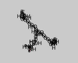 O=C(CCOCC(COCCC(=O)NCCOCCOCCOCCOC[C@@]12CO[C@@H](O1)[C@H](Nc1nccc(C(F)(F)F)n1)[C@@H](O)[C@H]2O)NCC(=O)NCCOCCOCCNC(O)c1ccc(CNc2nc(NCC3CCCCC3)nc(NC3CC4CCC3C4)n2)cc1)NCCOCCOCCOCCOC[C@@]12CO[C@@H](O1)[C@H](Nc1nccc(C(F)(F)F)n1)[C@@H](O)[C@H]2O